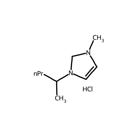 CCCC(C)N1C=CN(C)C1.Cl